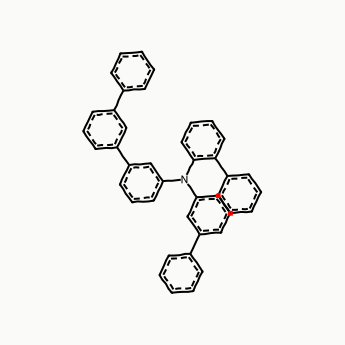 c1ccc(-c2cccc(-c3cccc(N(c4cccc(-c5ccccc5)c4)c4ccccc4-c4ccccc4)c3)c2)cc1